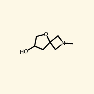 CN1CC2(CC(O)CO2)C1